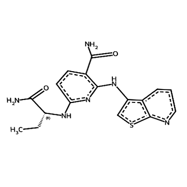 CC[C@@H](Nc1ccc(C(N)=O)c(Nc2csc3ncccc23)n1)C(N)=O